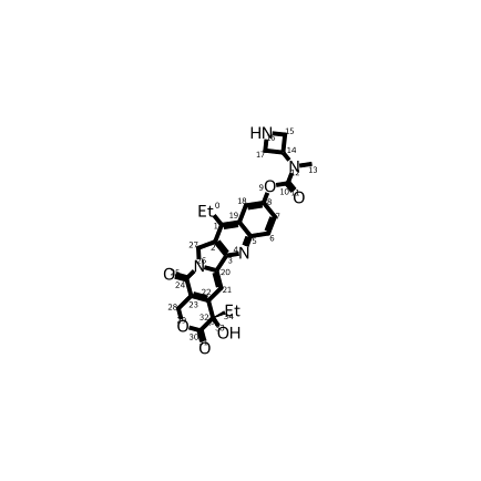 CCc1c2c(nc3ccc(OC(=O)N(C)C4CNC4)cc13)-c1cc3c(c(=O)n1C2)COC(=O)[C@]3(O)CC